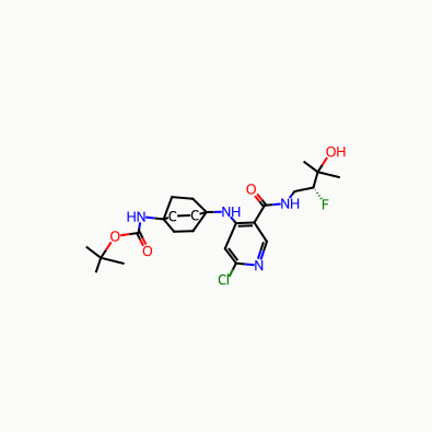 CC(C)(C)OC(=O)NC12CCC(Nc3cc(Cl)ncc3C(=O)NC[C@@H](F)C(C)(C)O)(CC1)CC2